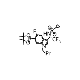 CC(C)Cn1cc([C@H](NS(=O)(=O)C2CC2)C(F)(F)F)c2cc(F)c(B3OC(C)(C)C(C)(C)O3)cc21